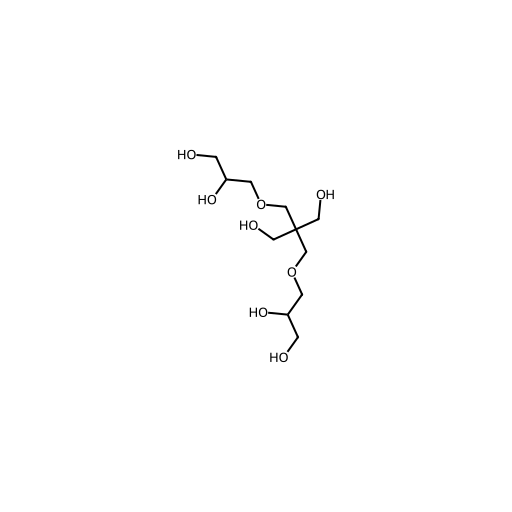 OCC(O)COCC(CO)(CO)COCC(O)CO